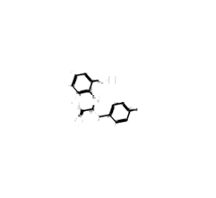 O=C(O)[C@H](Cc1ccc(O)cc1)Nc1ccccc1O